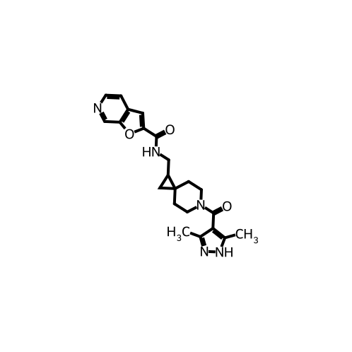 Cc1n[nH]c(C)c1C(=O)N1CCC2(CC1)CC2CNC(=O)c1cc2ccncc2o1